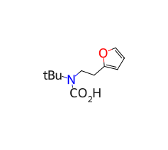 CC(C)(C)N(CCc1ccco1)C(=O)O